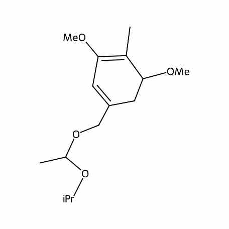 COC1=C(C)C(OC)CC(COC(C)OC(C)C)=C1